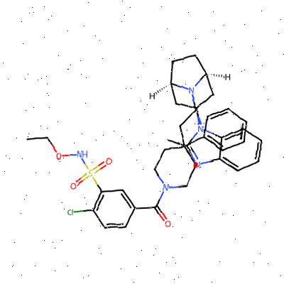 CCONS(=O)(=O)c1cc(C(=O)N2CCC(CCN3[C@@H]4CC[C@H]3C[C@@H](n3c(C)nc5ccccc53)C4)(c3ccccc3)CC2)ccc1Cl